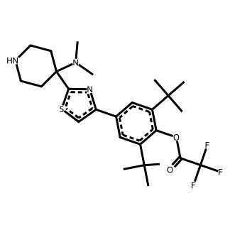 CN(C)C1(c2nc(-c3cc(C(C)(C)C)c(OC(=O)C(F)(F)F)c(C(C)(C)C)c3)cs2)CCNCC1